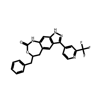 O=C1Nc2cc3[nH]nc(-c4ccnc(C(F)(F)F)c4)c3cc2CC(Cc2ccccc2)O1